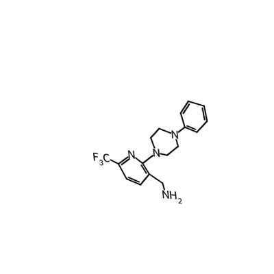 NCc1ccc(C(F)(F)F)nc1N1CCN(c2ccccc2)CC1